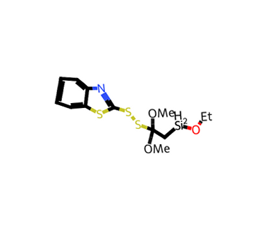 CCO[SiH2]CC(OC)(OC)SSc1nc2ccccc2s1